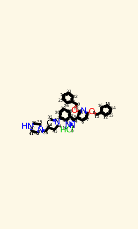 Cl.Cn1nc(-c2ccc(OCc3ccccc3)nc2OCc2ccccc2)c2cccc(N3CCC(CN4CCNCC4)CC3)c21